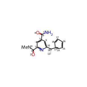 CNC(=O)c1cc(C(N)=O)cc([C@@H](C)c2ccccc2)n1